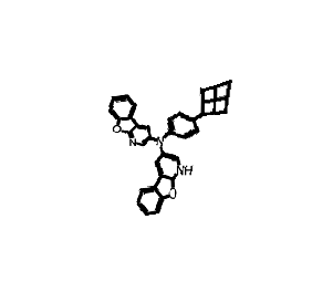 C1=C2c3ccccc3OC2NC=C1N(c1ccc(C2C3CC4CC5CC2C453)cc1)c1cnc2oc3ccccc3c2c1